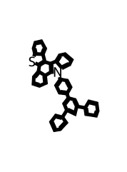 c1ccc(-c2cc(-c3ccccc3)cc(-c3ccc(-n4c5ccccc5c5c6c7ccccc7sc6c6ccccc6c54)cc3)c2)cc1